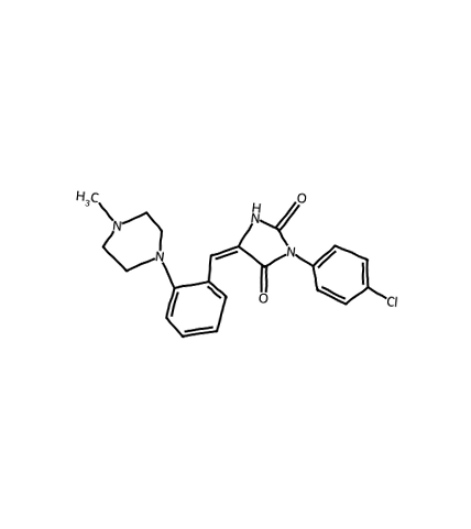 CN1CCN(c2ccccc2/C=C2/NC(=O)N(c3ccc(Cl)cc3)C2=O)CC1